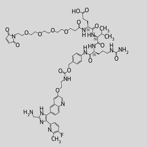 Cc1nc(-c2nc(CN)[nH]c2-c2ccc3ncc(OCCNC(=O)OCc4ccc(NC(=O)[C@H](CCCNC(N)=O)NC(=O)[C@@H](NC(=O)[C@H](CCC(=O)O)NC(=O)CCOCCOCCOCCOCCN5C(=O)C=CC5=O)C(C)C)cc4)cc3c2)ccc1F